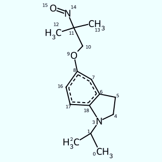 CC(C)N1CCc2cc(OCC(C)(C)N=O)ccc21